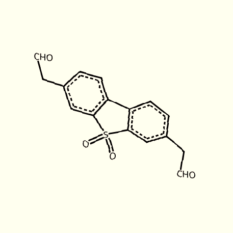 O=CCc1ccc2c(c1)S(=O)(=O)c1cc(CC=O)ccc1-2